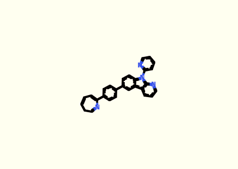 C1=CCC=NC(c2ccc(-c3ccc4c(c3)c3cccnc3n4-c3ccccn3)cc2)=C1